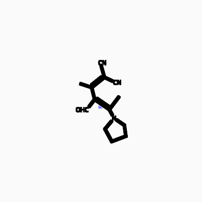 CC(=C(C#N)C#N)/C(C=O)=C(\C)N1CCCC1